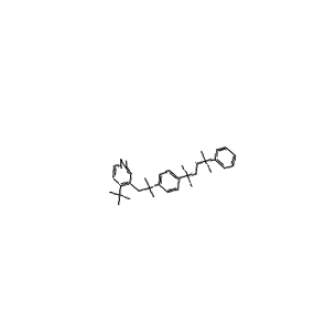 CC(C)(C)c1ccncc1CC(C)(C)c1ccc(C(C)(C)CCC(C)(C)c2ccccc2)cc1